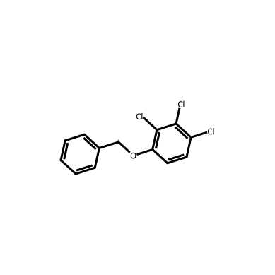 Clc1ccc(O[CH]c2ccccc2)c(Cl)c1Cl